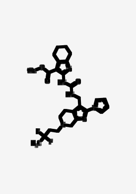 CC(F)(F)CCN1CCc2c(sc(-n3cccc3)c2CNC(=O)Nc2sc3c(c2C(=O)OC(C)(C)C)CCCC3)C1